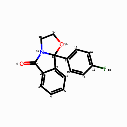 O=C1c2ccccc2C2(c3ccc(F)cc3)OCCN12